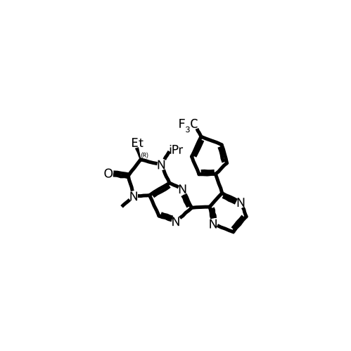 CC[C@@H]1C(=O)N(C)c2cnc(-c3nccnc3-c3ccc(C(F)(F)F)cc3)nc2N1C(C)C